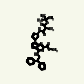 COC(=O)c1nc(NCC(c2ccccc2)c2ccccc2)c2ncn([C@H]3C=C[C@@H](NC(=O)C(C)C(=O)OC(C)(C)C)C3)c2n1